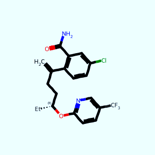 C=C(CC[C@@H](CC)Oc1ccc(C(F)(F)F)cn1)c1ccc(Cl)cc1C(N)=O